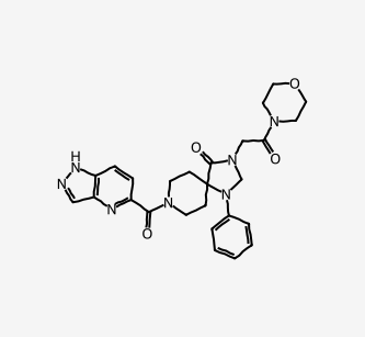 O=C(CN1CN(c2ccccc2)C2(CCN(C(=O)c3ccc4[nH]ncc4n3)CC2)C1=O)N1CCOCC1